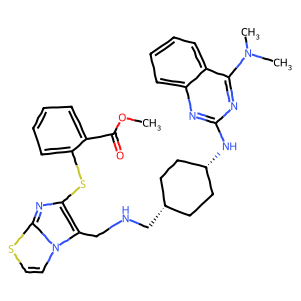 COC(=O)c1ccccc1Sc1nc2sccn2c1CNC[C@H]1CC[C@@H](Nc2nc(N(C)C)c3ccccc3n2)CC1